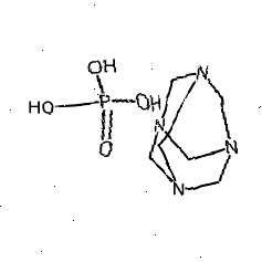 C1N2CN3CN1CN(C2)C3.O=P(O)(O)O